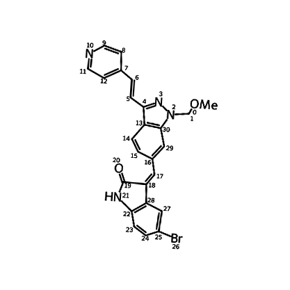 COCn1nc(C=Cc2ccncc2)c2ccc(C=C3C(=O)Nc4ccc(Br)cc43)cc21